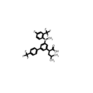 CC(C)CC(C(=O)O)c1cc(-c2ccc(C(F)(F)F)cc2)cc(N(C)c2ccc(F)cc2C(F)(F)F)c1